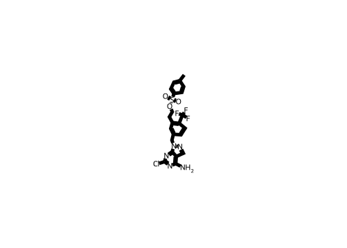 Cc1ccc(S(=O)(=O)OCCc2cc(Cn3ncc4c(N)nc(Cl)nc43)ccc2C(F)(F)F)cc1